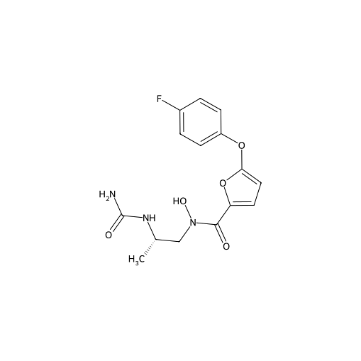 C[C@@H](CN(O)C(=O)c1ccc(Oc2ccc(F)cc2)o1)NC(N)=O